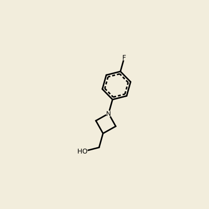 OCC1CN(c2ccc(F)cc2)C1